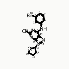 Clc1nc(Nc2cccc(Br)c2)c2ncn(C3CCCO3)c2n1